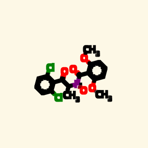 COc1cccc(OC)c1C(=O)[P](=O)C(C)C(=O)c1c(Cl)cccc1Cl